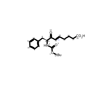 CC(C)(C)OC(=O)N[C@@H](Cc1ccccc1)C(=O)/C=C/CCCC(=O)O